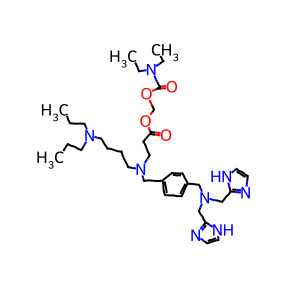 CCCN(CCC)CCCCN(CCC(=O)OCOC(=O)N(CC)CC)Cc1ccc(CN(Cc2ncc[nH]2)Cc2ncc[nH]2)cc1